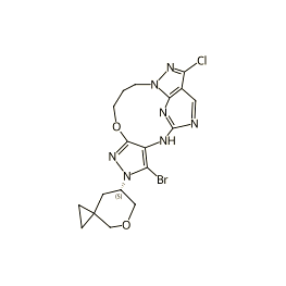 Clc1nn2c3nc(ncc13)Nc1c(nn([C@@H]3COCC4(CC4)C3)c1Br)OCCC2